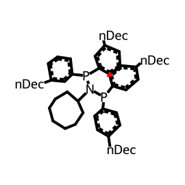 CCCCCCCCCCc1ccc(P(c2ccc(CCCCCCCCCC)cc2)N(C2CCCCCCC2)P(c2cccc(CCCCCCCCCC)c2)c2cccc(CCCCCCCCCC)c2)cc1